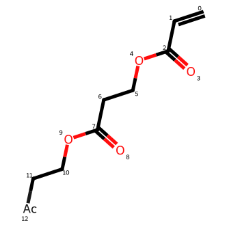 C=CC(=O)OCCC(=O)OCCC(C)=O